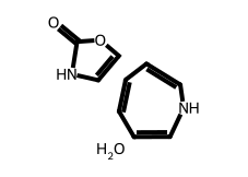 C1=CC=CNC=C1.O.O=c1[nH]cco1